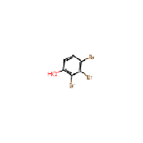 Oc1ccc(Br)c(Br)c1Br